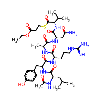 CCOC(=O)CCSC(=O)[C@@H](NC(=O)[C@H](CC(N)=O)NC(=O)[C@H](C)NC(=O)[C@H](CCCNC(=N)N)NC(=O)[C@H](Cc1ccc(O)cc1)NC(=O)[C@H](CC(C)C)NC(C)=O)C(C)C